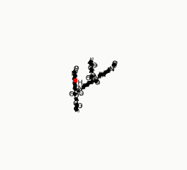 C=CC(=O)OCCOC(=O)N(CCCCCCN=C=O)C(=O)NCCCCCN(C(=O)NCCCCCCN=C=O)C(=O)OCCOC(=O)C=C